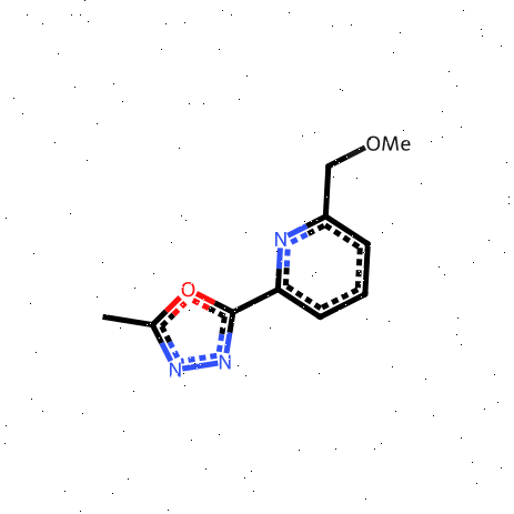 COCc1cccc(-c2nnc(C)o2)n1